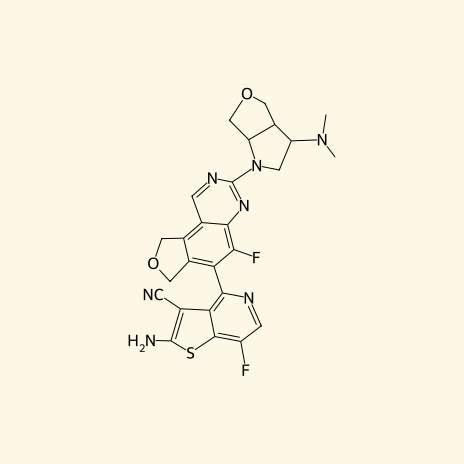 CN(C)C1CN(c2ncc3c4c(c(-c5ncc(F)c6sc(N)c(C#N)c56)c(F)c3n2)COC4)C2COCC12